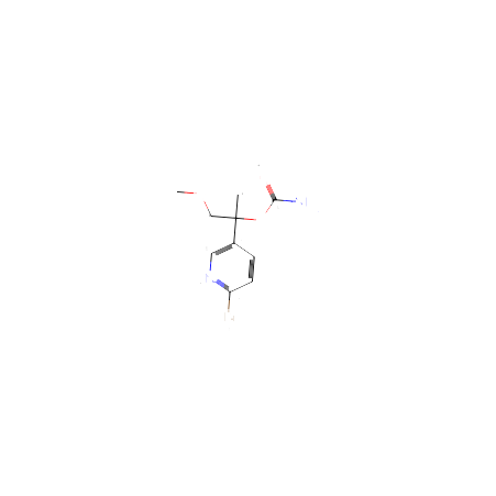 COCC(C)(OC(N)=O)c1ccc(Br)nc1